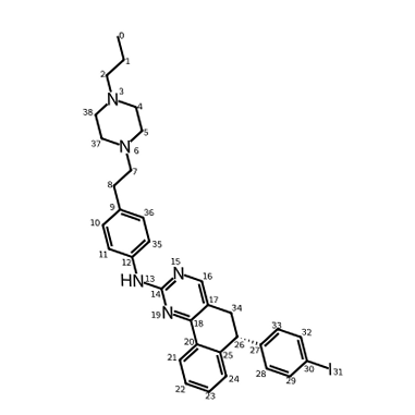 CCCN1CCN(CCc2ccc(Nc3ncc4c(n3)-c3ccccc3[C@@H](c3ccc(I)cc3)C4)cc2)CC1